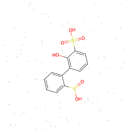 O=S(O)c1ccccc1-c1cccc(S(=O)(=O)O)c1O